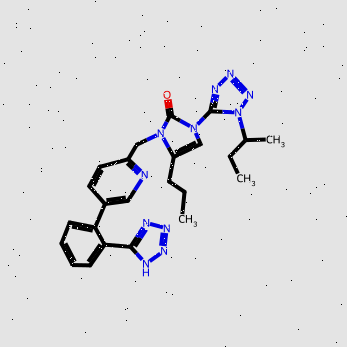 CCCc1cn(-c2nnnn2C(C)CC)c(=O)n1Cc1ccc(-c2ccccc2-c2nnn[nH]2)cn1